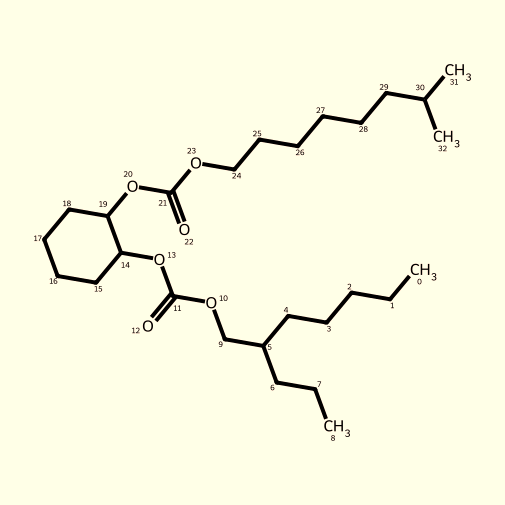 CCCCCC(CCC)COC(=O)OC1CCCCC1OC(=O)OCCCCCCC(C)C